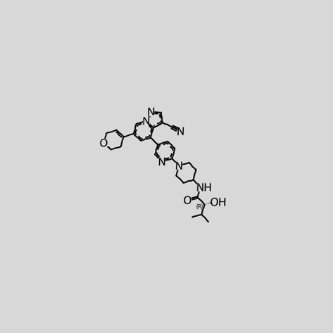 CC(C)[C@@H](O)C(=O)NC1CCN(c2ccc(-c3cc(C4=CCOCC4)cn4ncc(C#N)c34)cn2)CC1